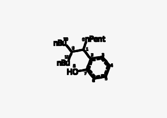 CCCCCC(c1ccccc1O)C(CCCC)CCCC